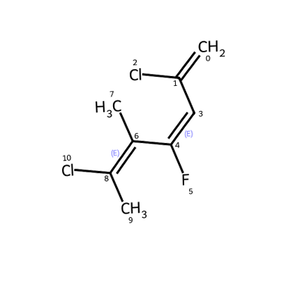 C=C(Cl)/C=C(F)\C(C)=C(/C)Cl